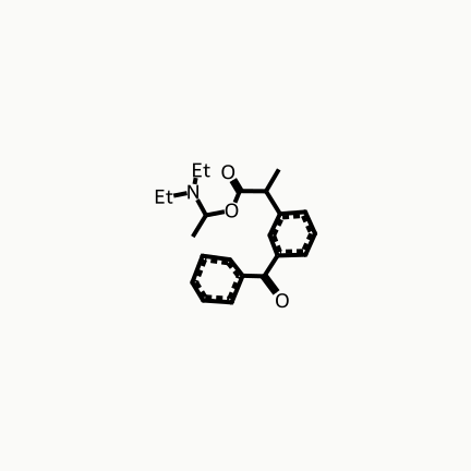 CCN(CC)C(C)OC(=O)C(C)c1cccc(C(=O)c2ccccc2)c1